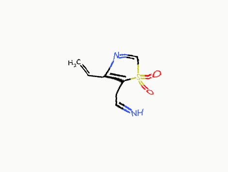 C=CC1=C(C=N)S(=O)(=O)C=N1